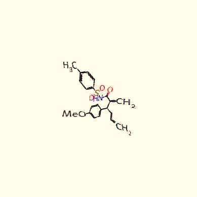 C=CC[C@H](C(=C)C(=O)NS(=O)(=O)c1ccc(C)cc1)c1ccc(OC)cc1